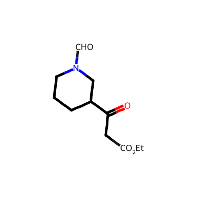 CCOC(=O)CC(=O)C1CCCN(C=O)C1